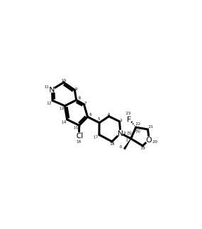 C[C@]1(N2CCC(c3cc4ccncc4cc3Cl)CC2)COC[C@H]1F